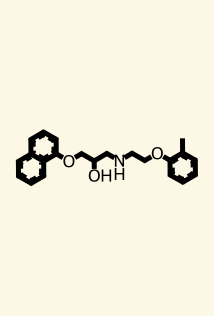 Cc1ccccc1OCCNCC(O)COc1cccc2ccccc12